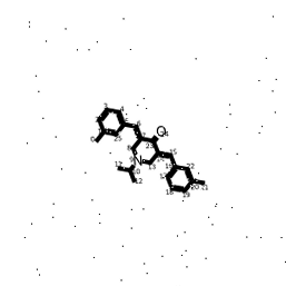 Cc1cccc(C=C2CN(C(C)C)CC(=Cc3cccc(C)c3)C2=O)c1